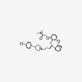 CN(C)C(=O)COc1cccc2c1CC(=CCCN1CCC(c3ccc(Cl)cc3)CC1)c1cccnc1O2